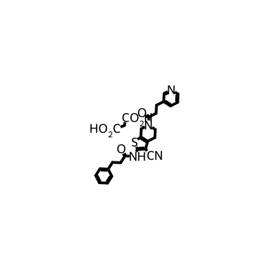 N#Cc1c(NC(=O)CCc2ccccc2)sc2c1CCN(C(=O)CCc1cccnc1)C2.O=C(O)CC(=O)O